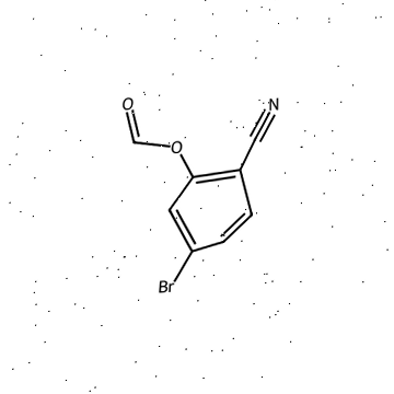 N#Cc1ccc(Br)cc1OC=O